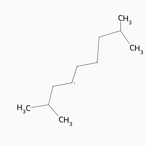 CC(C)C[CH]CCCC(C)C